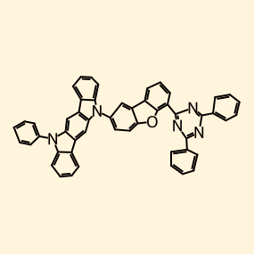 c1ccc(-c2nc(-c3ccccc3)nc(-c3cccc4c3oc3ccc(-n5c6ccccc6c6cc7c(cc65)c5ccccc5n7-c5ccccc5)cc34)n2)cc1